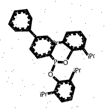 CC(C)c1cccc(C(C)C)c1OP(Oc1c(C(C)C)cccc1C(C)C)c1ccc(-c2ccccc2)cc1